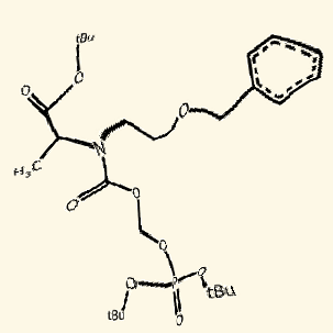 CC(C(=O)OC(C)(C)C)N(CCOCc1ccccc1)C(=O)OCOP(=O)(OC(C)(C)C)OC(C)(C)C